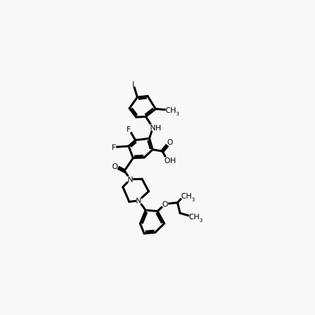 CCC(C)Oc1ccccc1N1CCN(C(=O)c2cc(C(=O)O)c(Nc3ccc(I)cc3C)c(F)c2F)CC1